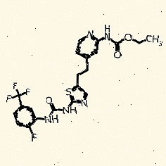 CCOC(=O)Nc1cc(CCc2cnc(NC(=O)Nc3cc(C(F)(F)F)ccc3F)s2)ccn1